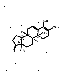 CCCCC1=C(OC)CC[C@@]2(C)C1=CC[C@@H]1[C@@H]2CC[C@]2(C)C(=O)CC[C@@H]12